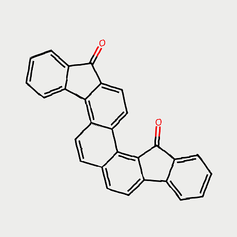 O=c1c2ccccc2c2c1ccc1c2ccc2ccc3c4ccccc4c(=O)c3c21